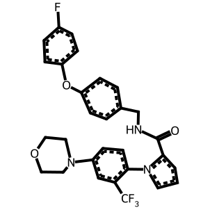 O=C(NCc1ccc(Oc2ccc(F)cc2)cc1)c1cccn1-c1ccc(N2CCOCC2)cc1C(F)(F)F